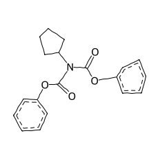 O=C(Oc1ccccc1)N(C(=O)Oc1ccccc1)C1CCCC1